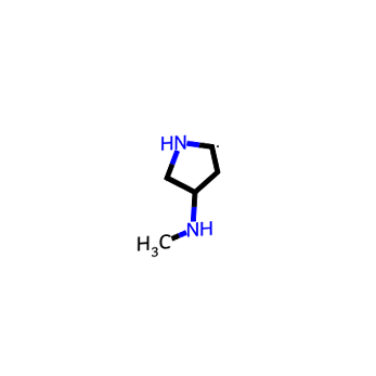 CNC1C[CH]NC1